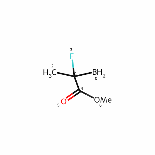 BC(C)(F)C(=O)OC